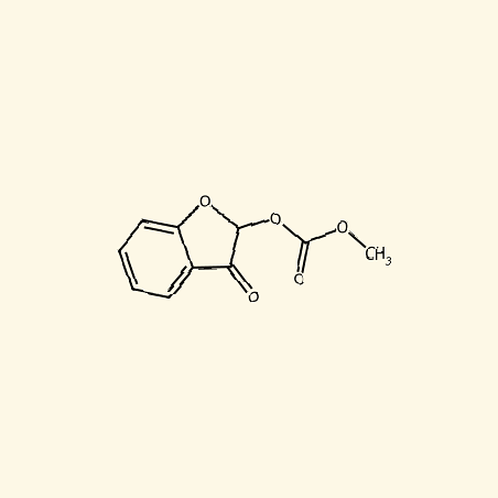 COC(=O)OC1Oc2ccccc2C1=O